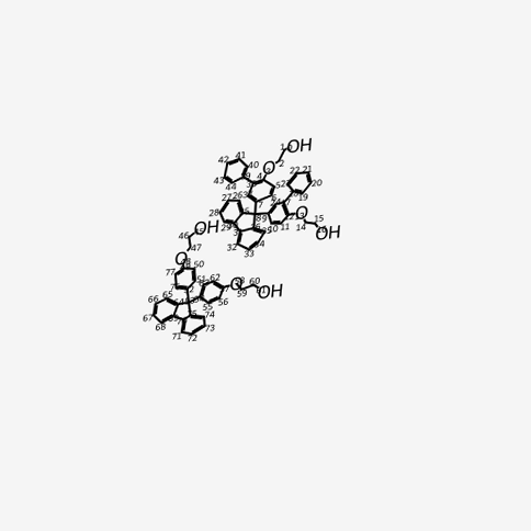 OCCOc1ccc(C2(c3ccc(OCCO)c(-c4ccccc4)c3)c3ccccc3-c3ccccc32)cc1-c1ccccc1.OCCOc1ccc(C2(c3ccc(OCCO)cc3)c3ccccc3-c3ccccc32)cc1